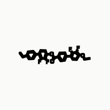 CCOc1ccc(-c2ccc(C(=O)Oc3ccc(-c4ccc(CC)cc4)c(F)c3F)cc2)c(F)c1F